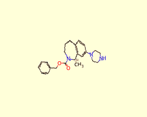 C[C@H]1c2cc(N3CCNCC3)ccc2CCCN1C(=O)OCc1ccccc1